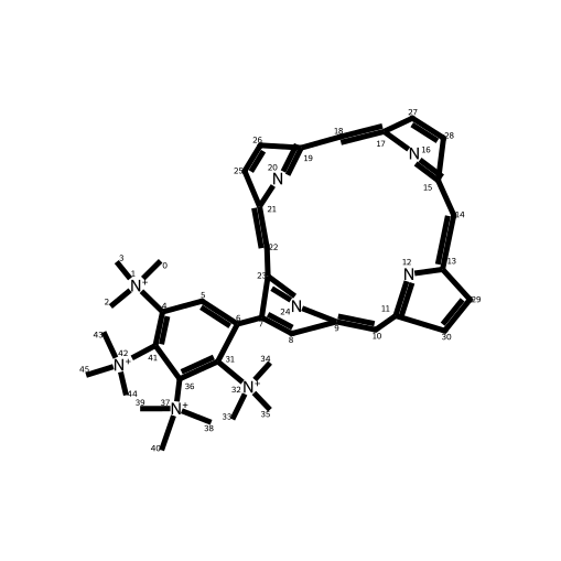 C[N+](C)(C)c1cc(C2=CC3=CC4=NC(=CC5=NC(=CC6=NC(=CC2=N3)C=C6)C=C5)C=C4)c([N+](C)(C)C)c([N+](C)(C)C)c1[N+](C)(C)C